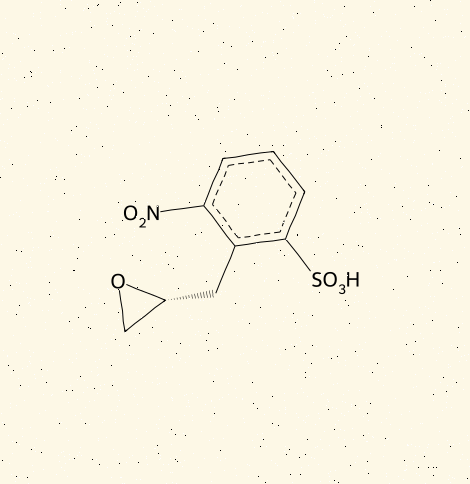 O=[N+]([O-])c1cccc(S(=O)(=O)O)c1C[C@@H]1CO1